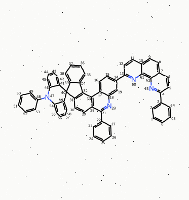 c1ccc(-c2ccc3ccc4ccc(-c5ccc6c(c5)nc(-c5ccccc5)c5ccc7c(c56)-c5ccccc5C75c6ccccc6N(c6ccccc6)c6ccccc65)nc4c3n2)cc1